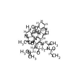 C=CC(=O)N1CC2C(=O)N(CCN(C)C)c3c(c4cc(Cl)c(-c5c(F)cccc5OC)c(F)c4n(-c4c(C)ccnc4C(C)C)c3=O)N2CC1C